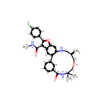 C=C1CNc2cc3oc(-c4ccc(F)cc4)c(C(=O)NC)c3cc2-c2cccc(c2)C(=O)NC(C)(C)COC1